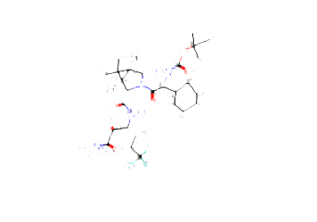 CC(C)(C)OC(=O)N[C@H](C(=O)N1C[C@H]2[C@@H]([C@H]1C(=O)N[C@H](CCC(F)(F)F)C(=O)C(N)=O)C2(C)C)C1CCCCC1